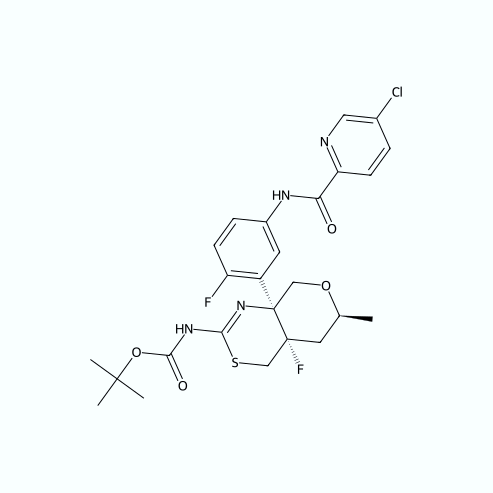 C[C@H]1C[C@@]2(F)CSC(NC(=O)OC(C)(C)C)=N[C@@]2(c2cc(NC(=O)c3ccc(Cl)cn3)ccc2F)CO1